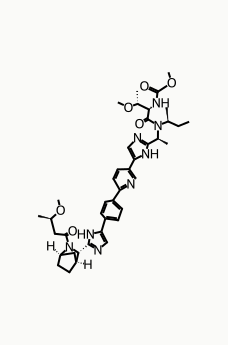 CC[C@H](C)N(C(=O)[C@@H](NC(=O)OC)[C@@H](C)OC)[C@@H](C)c1ncc(-c2ccc(-c3ccc(-c4cnc([C@@H]5[C@H]6CC[C@H](C6)N5C(=O)C[C@@H](C)OC)[nH]4)cc3)nc2)[nH]1